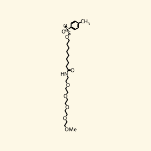 COCCOCCOCCOCCOCCNC(=O)CCCCCCCCOSS(=O)(=O)c1ccc(C)cc1